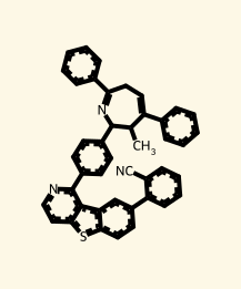 CC1C(c2ccccc2)=CCC(c2ccccc2)=NC1c1ccc(-c2nccc3sc4ccc(-c5ccccc5C#N)cc4c23)cc1